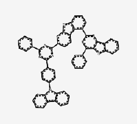 c1ccc(-c2nc(-c3ccc(-n4c5ccccc5c5ccccc54)cc3)nc(-c3ccc4c(c3)oc3cccc(-c5nc(-c6ccccc6)c6oc7ccccc7c6n5)c34)n2)cc1